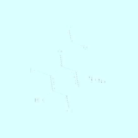 [Na+].[Na+].[O-]B([O-])Oc1ccc(O)c(O)c1O